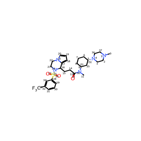 CN1CCN([C@H]2CCC[C@H](N(C)C(=O)CCC3c4cccn4CCN3S(=O)(=O)c3cccc(C(F)(F)F)c3)C2)CC1